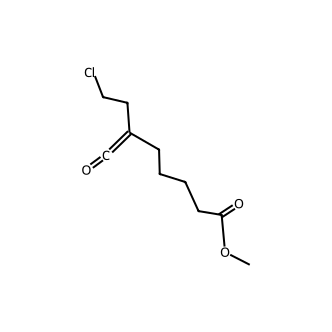 COC(=O)CCCCC(=C=O)CCCl